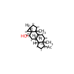 CC(=O)[C@H]1CC[C@H]2[C@@H]3C[C@@H](O)C45C[C@H]4CC[C@]5(C)[C@H]3CC[C@]12C